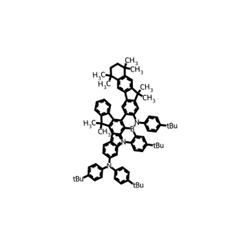 CC(C)(C)c1ccc(N2B3c4cc(C(C)(C)C)ccc4-n4c5cc(N(c6ccc(C(C)(C)C)cc6)c6ccc(C(C)(C)C)cc6)ccc5c5c6c(c(c3c54)-c3cc4c(cc32)C(C)(C)c2cc3c(cc2-4)C(C)(C)CCC3(C)C)-c2ccccc2C6(C)C)cc1